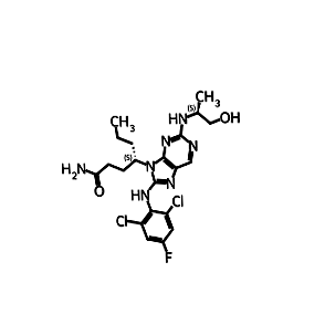 CCC[C@@H](CCC(N)=O)n1c(Nc2c(Cl)cc(F)cc2Cl)nc2cnc(N[C@@H](C)CO)nc21